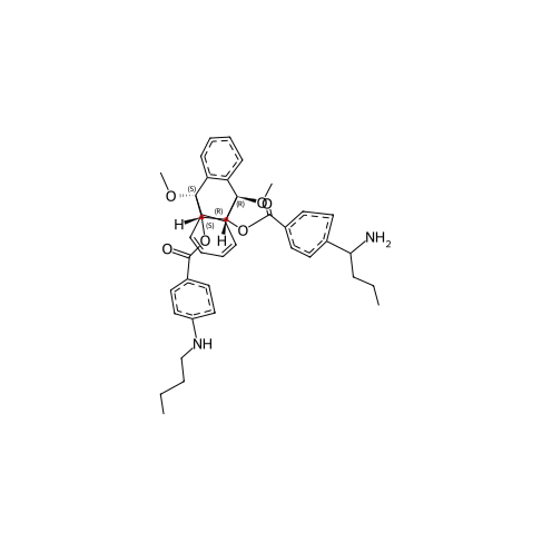 CCCCNc1ccc(C(=O)O[C@H]2[C@@H](OC(=O)c3ccc(C(N)CCC)cc3)[C@]3(OC)c4ccccc4[C@@]2(OC)C2C=CC=CC23)cc1